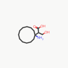 NC1(C(CO)C(=O)O)CCCCCCCCCCC1